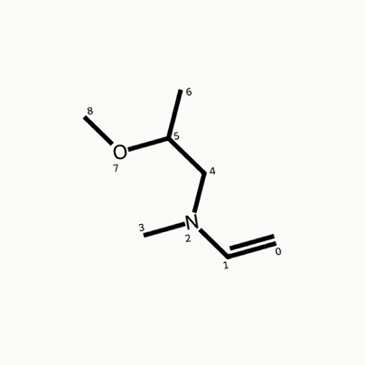 C=CN(C)CC(C)OC